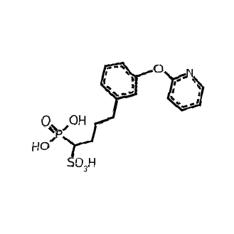 O=P(O)(O)C(CCCc1cccc(Oc2ccccn2)c1)S(=O)(=O)O